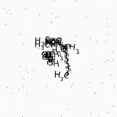 CCCCCCCCCCCC[N+](C)(C)CCCNC(=O)c1ccc(N(C)C)cc1.Cc1ccc(O)cc1S(=O)(=O)[O-]